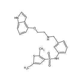 Cc1cc(S(=O)(=O)Nc2cccc(CNCCOc3cccc4[nH]ccc34)c2)c(C)s1